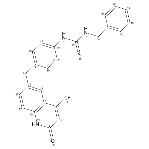 O=c1cc(C(F)(F)F)c2cc(Cc3ccc(NC(=S)NCc4ccccc4)cc3)ccc2[nH]1